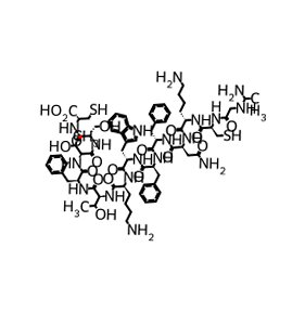 CC(N)NCC(=O)N[C@@H](CS)C(=O)N[C@@H](CCCCN)C(=O)N[C@@H](CC(N)=O)C(=O)N[C@@H](Cc1ccccc1)C(=O)N[C@@H](Cc1ccccc1)C(=O)N[C@@H](Cc1c[nH]c2ccccc12)C(=O)N[C@@H](CCCCN)C(=O)N[C@H](C(=O)N[C@@H](Cc1ccccc1)C(=O)N[C@H](C(=O)N[C@@H](CO)C(=O)N[C@@H](CS)C(=O)O)C(C)O)C(C)O